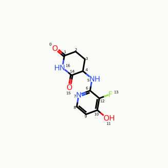 O=C1CCC(Nc2nccc(O)c2F)C(=O)N1